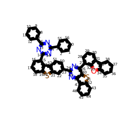 c1ccc(-c2nc(-c3ccccc3)nc(-c3cccc4sc5cc(-c6nc(-c7cccc8c7oc7ccccc78)c7sc8ccccc8c7n6)ccc5c34)n2)cc1